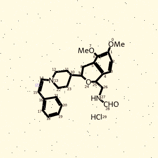 COc1ccc2c(c1OC)CC(C1CCN(/C=C\c3ccccc3)CC1)OC2CNC=O.Cl